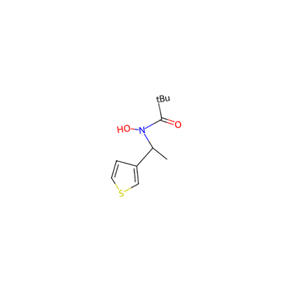 CC(c1ccsc1)N(O)C(=O)C(C)(C)C